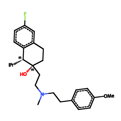 COc1ccc(CCN(C)CC[C@]2(O)CCc3cc(F)ccc3[C@H]2C(C)C)cc1